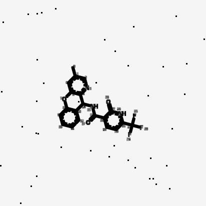 Cc1cnc2c(c1)Oc1ccccc1C2NC(=O)c1ccc(C(F)(F)F)[nH]c1=O